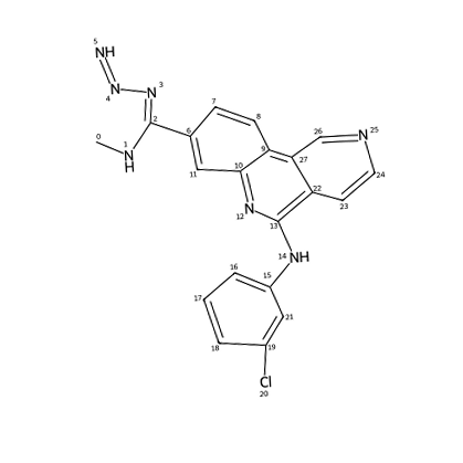 CN/C(=N\N=N)c1ccc2c(c1)nc(Nc1cccc(Cl)c1)c1ccncc12